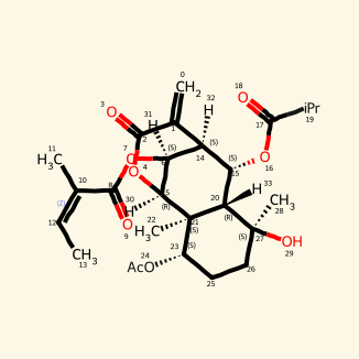 C=C1C(=O)O[C@H]2[C@@H](OC(=O)/C(C)=C\C)[C@@H]1[C@H](OC(=O)C(C)C)[C@H]1[C@@]2(C)[C@@H](OC(C)=O)CC[C@]1(C)O